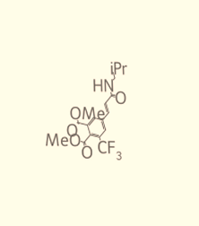 COC(=O)c1cc(/C=C/C(=O)NCC(C)C)cc(C(F)(F)F)c1C(=O)OC